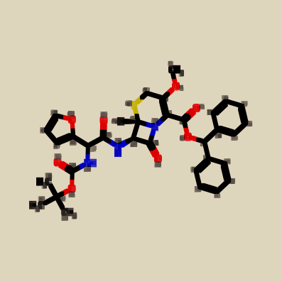 COC1=C(C(=O)OC(c2ccccc2)c2ccccc2)N2C(=O)[C@@H](NC(=O)C(NC(=O)OC(C)(C)C)c3ccco3)[C@@H]2SC1